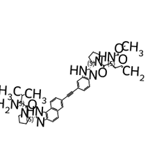 C=CC[C@H](NC(=O)OC)C(=O)N1CCC[C@H]1c1nc2ccc(C#Cc3ccc4c(ccc5nc([C@@H]6CCCN6C(=O)[C@@H](N)C(C)C)[nH]c54)c3)cc2[nH]1